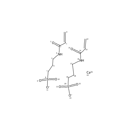 C=CC(=O)NCCCS(=O)(=O)[O-].C=CC(=O)NCCCS(=O)(=O)[O-].[Ca+2]